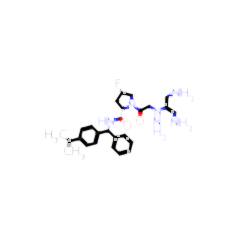 CC(C)c1ccc([C@@H](NC(=O)[C@@H]2C[C@@H](F)CN2C(=O)CN(N)/C(=C\N)CN)c2ccccc2)cc1